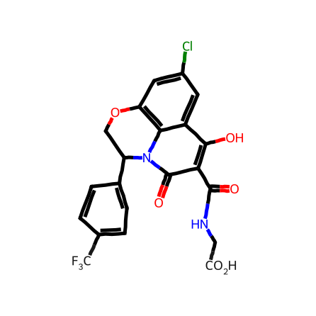 O=C(O)CNC(=O)c1c(O)c2cc(Cl)cc3c2n(c1=O)C(c1ccc(C(F)(F)F)cc1)CO3